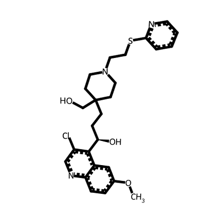 COc1ccc2ncc(Cl)c([C@H](O)CCC3(CO)CCN(CCSc4ccccn4)CC3)c2c1